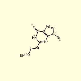 CCOCNc1nc2c(ncn2Br)c(=O)[nH]1